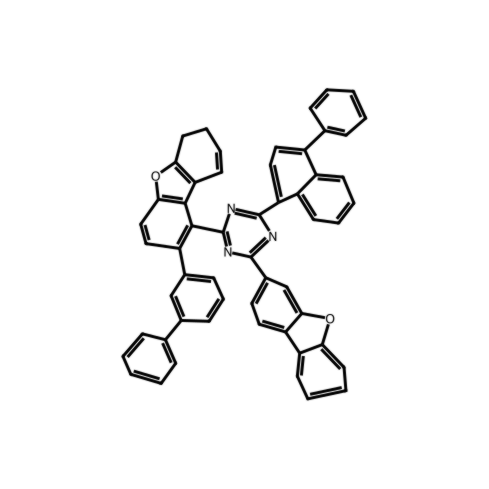 C1=Cc2c(oc3ccc(-c4cccc(-c5ccccc5)c4)c(-c4nc(-c5ccc6c(c5)oc5ccccc56)nc(-c5ccc(-c6ccccc6)c6ccccc56)n4)c23)CC1